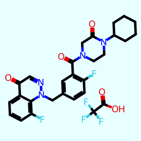 O=C(O)C(F)(F)F.O=C(c1cc(Cn2ncc(=O)c3cccc(F)c32)ccc1F)N1CCN(C2CCCCC2)C(=O)C1